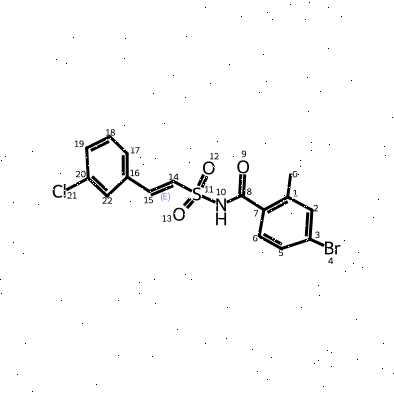 Cc1cc(Br)ccc1C(=O)NS(=O)(=O)/C=C/c1cccc(Cl)c1